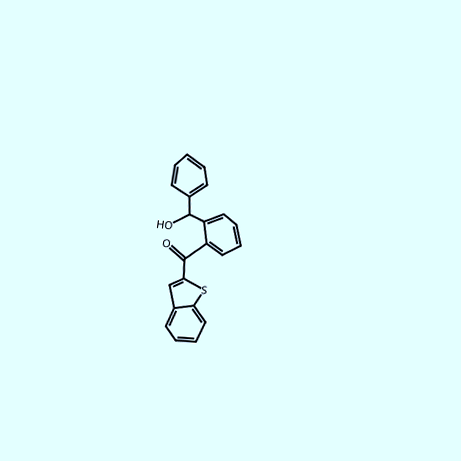 O=C(c1cc2ccccc2s1)c1ccccc1C(O)c1ccccc1